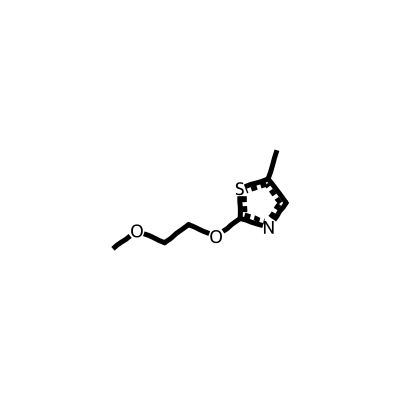 COCCOc1ncc(C)s1